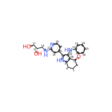 O=C1CCCc2[nH]c(-c3ccnc(NC[C@H](O)CO)c3)c(Nc3ccccc3)c21